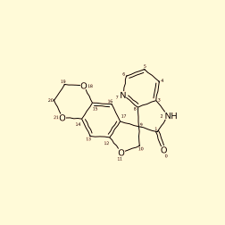 O=C1Nc2cccnc2C12COc1cc3c(cc12)OCCO3